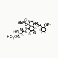 CCOc1ccccc1CO/N=C1/CCC(OC(=O)C(C)CC)C2C1=CC(=O)C(C)C2CCC(=O)CC(O)CC(=O)O